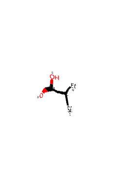 CCC([Si])C(=O)O